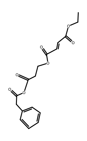 CCOC(=O)/C=C/C(=O)OCCC(=O)OC(=O)Cc1ccccc1